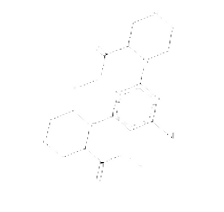 CC(C)(C)OC(=O)C1CNCCN1c1cc(N)nc(N2CCNCC2C(=O)OC(C)(C)C)n1